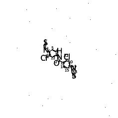 O=C(Nc1ccc(N=C=S)c(Cl)c1)c1ccc(N=C=S)cc1Cl